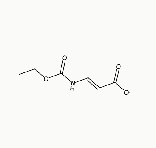 CCOC(=O)NC=CC([O])=O